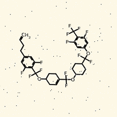 C=CCCc1cc(F)c(C(F)(F)OC2CC=C(C(F)(F)OC3CCC(C(F)(F)Oc4cc(F)c(C(F)(F)F)c(F)c4)CC3)CC2)c(F)c1